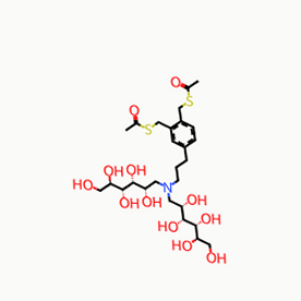 CC(=O)SCc1ccc(CCCN(C[C@H](O)[C@@H](O)[C@H](O)[C@H](O)CO)C[C@H](O)[C@@H](O)[C@H](O)[C@H](O)CO)cc1CSC(C)=O